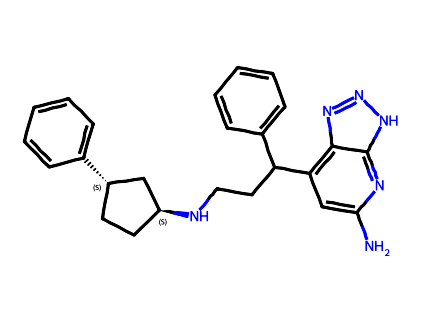 Nc1cc(C(CCN[C@H]2CC[C@H](c3ccccc3)C2)c2ccccc2)c2nn[nH]c2n1